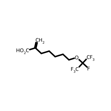 C=C(CCCCCOC(F)(C(F)(F)F)C(F)(F)F)C(=O)O